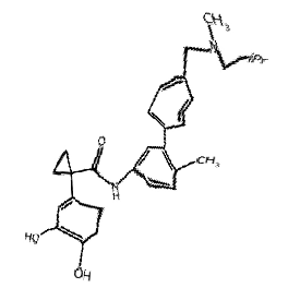 Cc1ccc(NC(=O)C2(C3=CC(O)=C(O)CC3)CC2)cc1-c1ccc(CN(C)CC(C)C)cc1